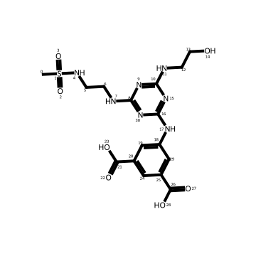 CS(=O)(=O)NCCNc1nc(NCCO)nc(Nc2cc(C(=O)O)cc(C(=O)O)c2)n1